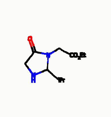 CCOC(=O)CN1C(=O)CNC1C(C)C